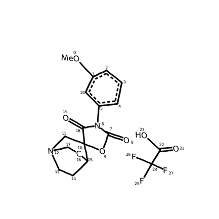 COc1cccc(N2C(=O)OC3(CN4CCC3CC4)C2=O)c1.O=C(O)C(F)(F)F